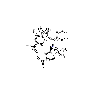 CC(C)(C)c1ccc([N+](=O)[O-])cc1/C=C/C(=O)N1CCCCC1.CC(C)(C)c1ccc([N+](=O)[O-])cc1Br